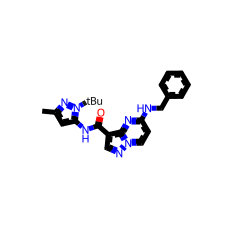 Cc1cc(NC(=O)c2cnn3ccc(NCc4ccccc4)nc23)n(C(C)(C)C)n1